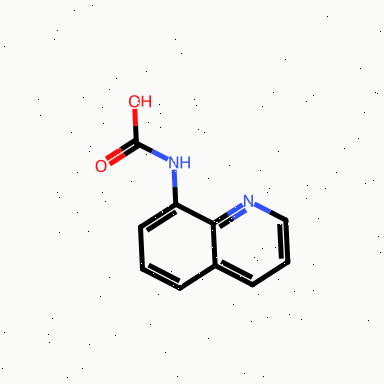 O=C(O)Nc1cccc2cccnc12